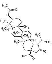 CC(=O)O[C@H]1CC[C@@]2(C)[C@@H](CC[C@]3(C)[C@]2(C)CC[C@@H]2C4=C(C(C)C)C(=O)C[C@]4(C(=O)O)CC[C@]23C)C1(C)C